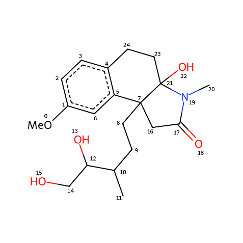 COc1ccc2c(c1)C1(CCC(C)C(O)CO)CC(=O)N(C)C1(O)CC2